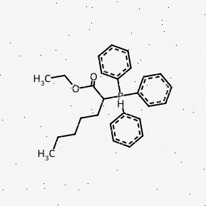 CCCCCC(C(=O)OCC)[PH](c1ccccc1)(c1ccccc1)c1ccccc1